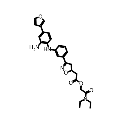 CCN(CC)C(=O)COC(=O)CC1CC(c2cccc(Nc3ccc(-c4ccoc4)cc3N)c2)=NO1